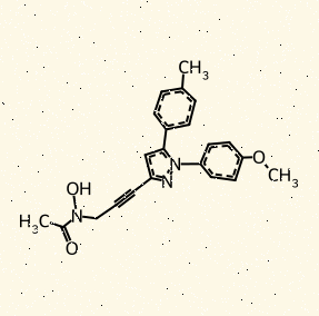 COc1ccc(-n2nc(C#CCN(O)C(C)=O)cc2-c2ccc(C)cc2)cc1